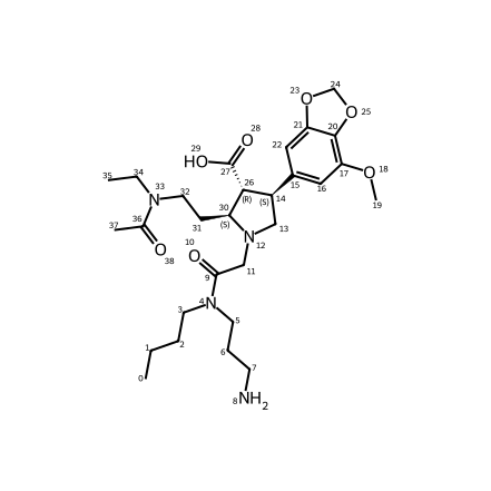 CCCCN(CCCN)C(=O)CN1C[C@H](c2cc(OC)c3c(c2)OCO3)[C@@H](C(=O)O)[C@@H]1CCN(CC)C(C)=O